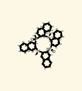 CN1c2cc3ccccc3cc2[PH](=O)c2ccc3ccccc3c2N(C)c2c(ccc3ccccc23)P(C)(=O)c2cc3ccccc3cc21